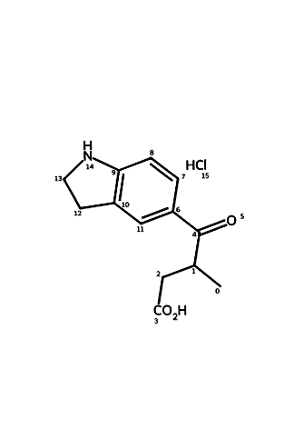 CC(CC(=O)O)C(=O)c1ccc2c(c1)CCN2.Cl